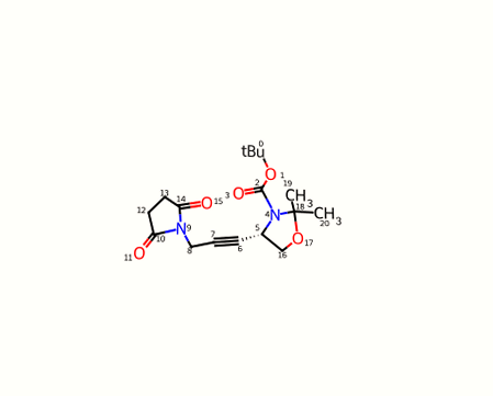 CC(C)(C)OC(=O)N1[C@@H](C#CCN2C(=O)CCC2=O)COC1(C)C